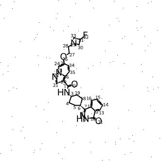 O=C(N[C@H]1CC[C@H](c2n[nH]c(=O)c3ccccc32)CC1)c1cnn2cc(OCCN3CC(F)C3)ccc12